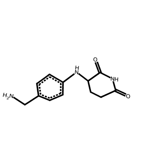 NCc1ccc(NC2CCC(=O)NC2=O)cc1